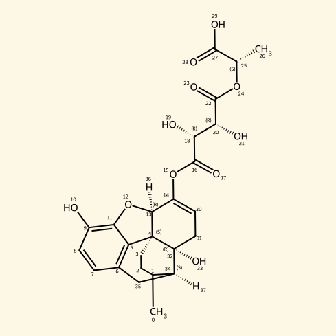 CC1CC[C@]23c4c5ccc(O)c4O[C@H]2C(OC(=O)[C@H](O)[C@@H](O)C(=O)O[C@@H](C)C(=O)O)=CC[C@@]3(O)[C@H]1C5